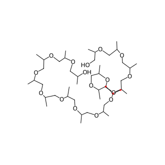 CC(O)COC(C)COC(C)COC(C)COC(C)COC(C)COC(C)COC(C)COC(C)COC(C)COC(C)COC(C)COC(C)COC(C)COC(C)CO